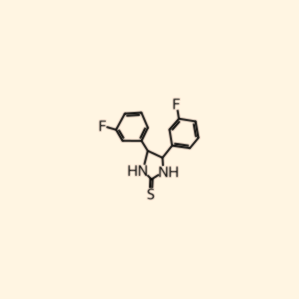 Fc1cccc(C2NC(=S)NC2c2cccc(F)c2)c1